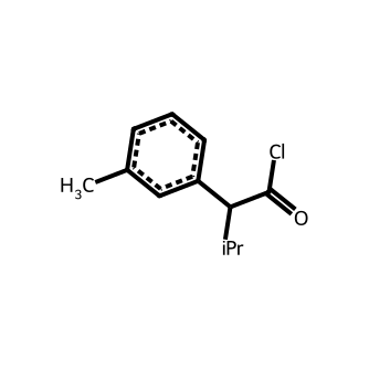 Cc1cccc(C(C(=O)Cl)C(C)C)c1